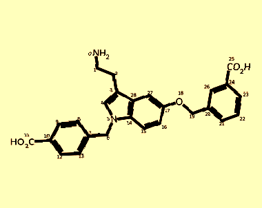 NCCc1cn(Cc2ccc(C(=O)O)cc2)c2ccc(OCc3cccc(C(=O)O)c3)cc12